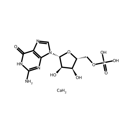 Nc1nc2c(ncn2[C@@H]2O[C@H](COP(=O)(O)O)[C@@H](O)[C@H]2O)c(=O)[nH]1.[CaH2]